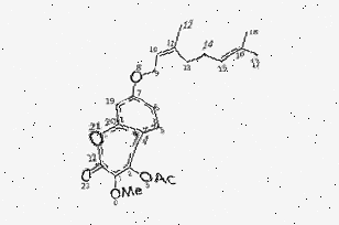 COc1c(OC(C)=O)c2ccc(OCC=C(C)CCC=C(C)C)cc2oc1=O